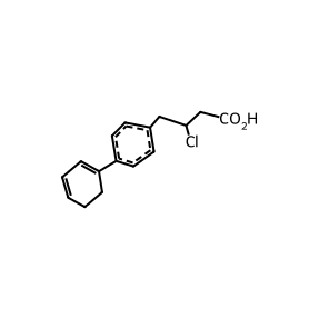 O=C(O)CC(Cl)Cc1ccc(C2=CC=CCC2)cc1